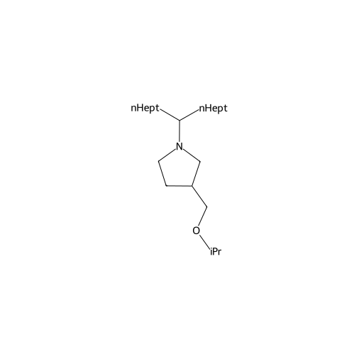 CCCCCCCC(CCCCCCC)N1CCC(COC(C)C)C1